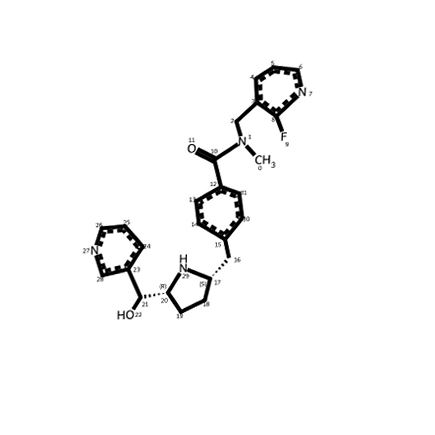 CN(Cc1cccnc1F)C(=O)c1ccc(C[C@@H]2CC[C@H](C(O)c3cccnc3)N2)cc1